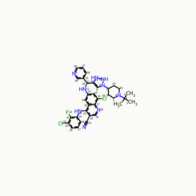 CC(C)(C)N1CCC(N2C=C([C@@H](Nc3cc(Cl)c4ncc(C#N)c(Nc5cccc(Cl)c5F)c4c3)c3cccnc3)NN2)CC1